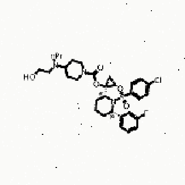 CCCN(CCO)C1CCN(C(=O)OC2([C@H]3CCC[C@@H](c4cccc(F)c4)N3S(=O)(=O)c3ccc(Cl)cc3)CC2)CC1